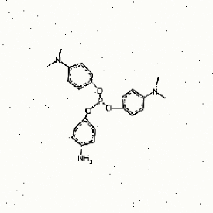 CN(C)c1ccc(OP(Oc2ccc(N)cc2)Oc2ccc(N(C)C)cc2)cc1